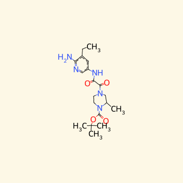 CCc1cc(NC(=O)C(=O)N2CCN(C(=O)OC(C)(C)C)C(C)C2)cnc1N